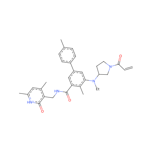 C=CC(=O)N1CCC(N(CC)c2cc(-c3ccc(C)cc3)cc(C(=O)NCc3c(C)cc(C)[nH]c3=O)c2C)C1